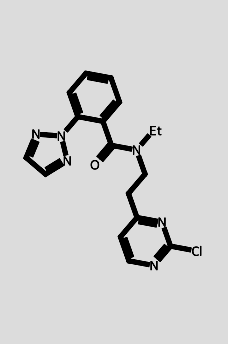 CCN(CCc1ccnc(Cl)n1)C(=O)c1ccccc1-n1nccn1